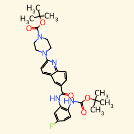 CC(C)(C)OC(=O)Nc1ccc(F)cc1NC(=O)c1ccc2nc(N3CCN(C(=O)OC(C)(C)C)CC3)ccc2c1